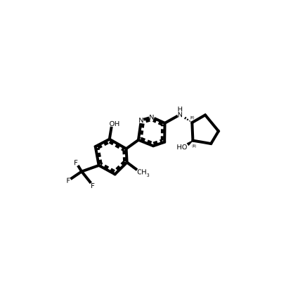 Cc1cc(C(F)(F)F)cc(O)c1-c1ccc(N[C@@H]2CCC[C@H]2O)nn1